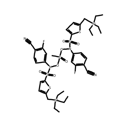 CC[N+](CC)(CC)Cc1ccc(S(=O)(=O)N(OP(C)(=O)ON(c2ccc(C#N)c(F)c2)S(=O)(=O)c2ccc(C[N+](CC)(CC)CC)s2)c2ccc(C#N)c(F)c2)s1